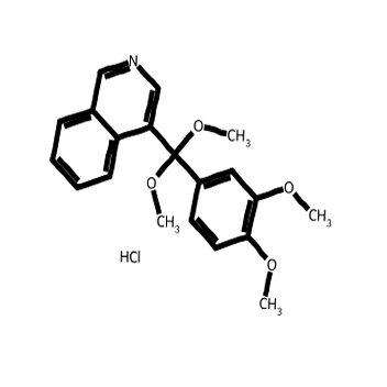 COc1ccc(C(OC)(OC)c2cncc3ccccc23)cc1OC.Cl